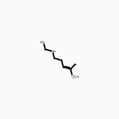 CC(=CCCNCO)C(=O)O